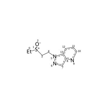 CC[S+]([O-])CCn1ncc2ncccc21